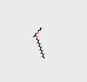 C=CCOCC(=C)OCCCCCCCCCCCC